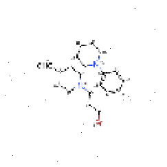 O=CC1CCN(CCCBr)CC1.c1ccc(N2CCCCC2)cc1